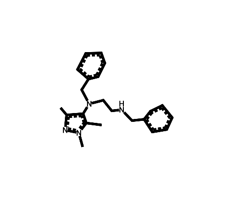 Cc1nn(C)c(C)c1N(CCNCc1ccccc1)Cc1ccccc1